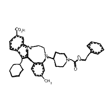 Cc1ccc2c(c1)N(C1CCN(C(=O)OCc3ccccc3)CC1)CCn1c-2c(C2CCCCC2)c2ccc(C(=O)O)cc21